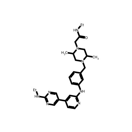 CCNC(=O)CN1CC(C)N(Cc2cccc(Nc3cc(-c4cnc(NCC)nc4)ccn3)c2)CC1C